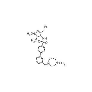 Cc1c(NS(=O)(=O)c2ccc(-c3cccc(CN4CCCN(C)CC4)c3)cc2)c(CC(C)C)nn1C